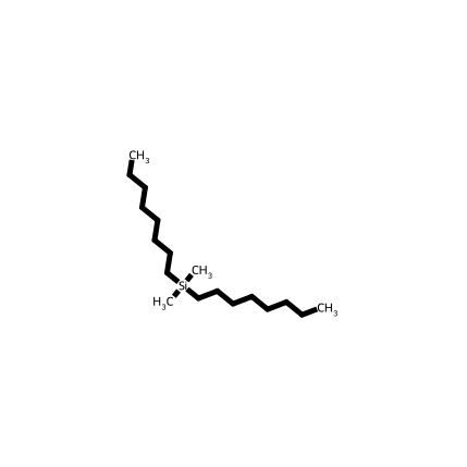 CCCCCCCC[Si](C)(C)CCCCCCCC